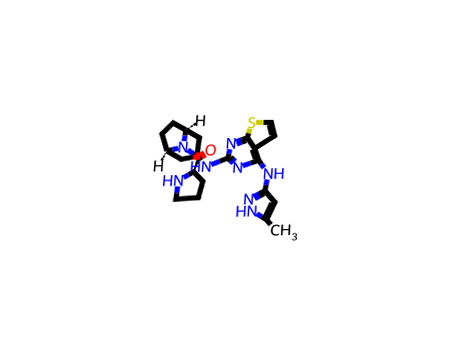 Cc1cc(Nc2nc(N[C@@H]3C[C@H]4CC[C@@H](C3)N4C(=O)[C@H]3CCCN3)nc3sccc23)n[nH]1